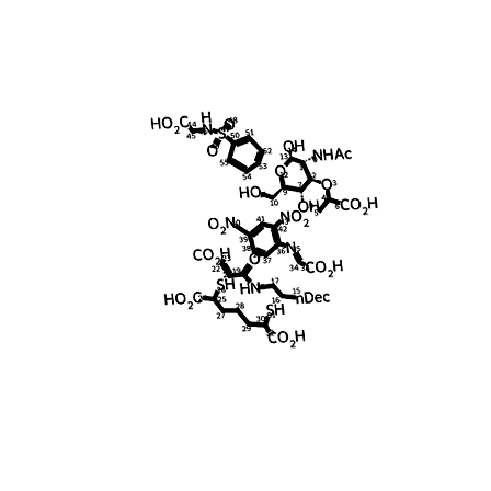 CC(=O)N[C@@H]1[C@@H](OC(C)C(=O)O)[C@H](O)[C@@H](CO)O[C@@H]1O.CCCCCCCCCCCCNC(=O)/C=C\C(=O)O.O=C(O)C(S)CCCC(S)C(=O)O.O=C(O)C=Nc1ccc([N+](=O)[O-])cc1[N+](=O)[O-].O=C(O)CNS(=O)(=O)c1ccccc1